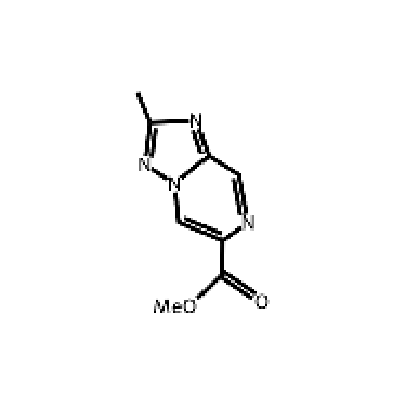 COC(=O)c1cn2nc(C)nc2cn1